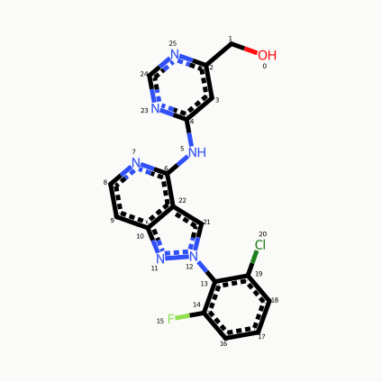 OCc1cc(Nc2nccc3nn(-c4c(F)cccc4Cl)cc23)ncn1